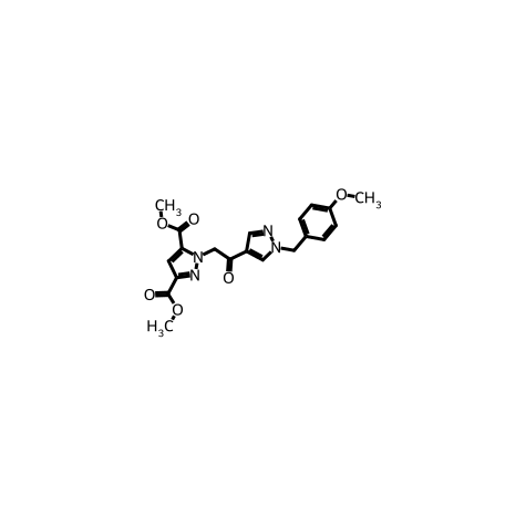 COC(=O)c1cc(C(=O)OC)n(CC(=O)c2cnn(Cc3ccc(OC)cc3)c2)n1